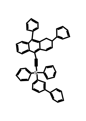 C(#C[Si](c1ccccc1)(c1ccccc1)c1cccc(-c2ccccc2)c1)c1c2c(c(-c3ccccc3)c3ccccc13)CC(c1ccccc1)C=C2